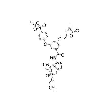 CCOP(=O)(Cc1csc(NC(=O)c2cc(OC[C@H]3CNC(=O)O3)cc(Oc3ccc(S(C)(=O)=O)cc3)c2)n1)OCC